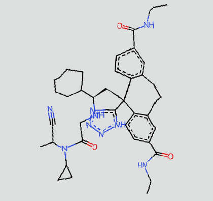 CCNC(=O)c1ccc2c(c1)CCc1cc(C(=O)NCC)ccc1C2(C[C@@H](NCC(=O)N(C(C)C#N)C1CC1)C1CCCCC1)c1nnn[nH]1